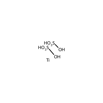 O=S(=O)(O)O.O=S(=O)(O)O.[Ti]